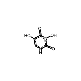 O=c1[nH]cc(O)c(=O)n1O